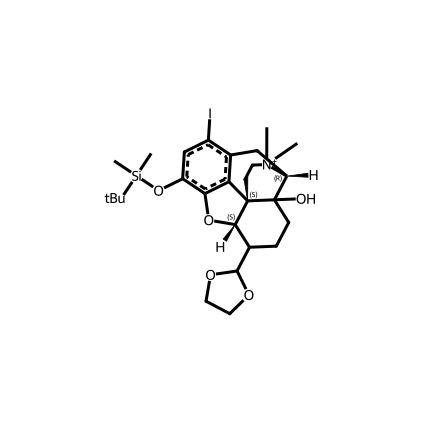 CC(C)(C)[Si](C)(C)Oc1cc(I)c2c3c1O[C@H]1C(C4OCCO4)CCC4(O)[C@@H](C2)[N+](C)(C)CC[C@]314